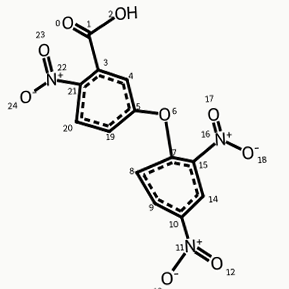 O=C(O)c1cc(Oc2ccc([N+](=O)[O-])cc2[N+](=O)[O-])ccc1[N+](=O)[O-]